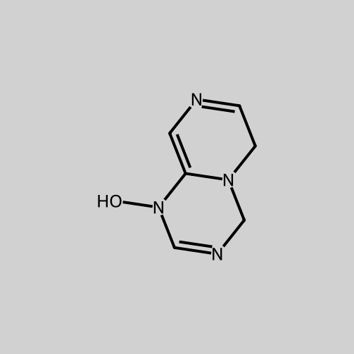 ON1C=NCN2CC=NC=C12